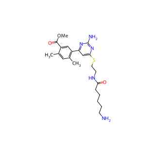 COC(=O)c1cc(-c2cc(SCCNC(=O)CCCCCN)nc(N)n2)c(C)cc1C